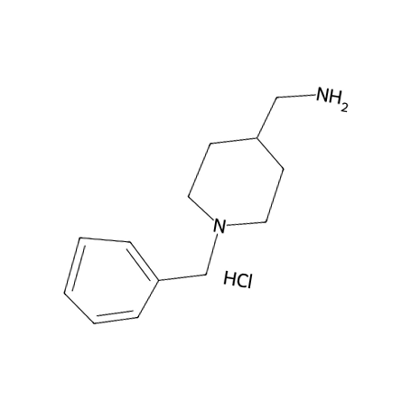 Cl.NCC1CCN(Cc2ccccc2)CC1